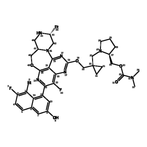 CCc1c(F)ccc2cc(O)cc(-c3nc4c5c(nc(OCC6(CN7CCC[C@H]7COC(=O)N(C)C)CC6)nc5c3F)N3C[C@@H](CC)NCC3CO4)c12